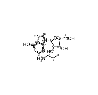 CCCN.OC[C@H]1O[C@@H](n2cnc3c(O)ncnc32)[C@H](O)[C@@H]1O